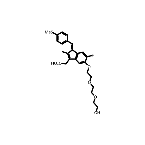 CSc1ccc(C=C2C(C)=C(CC(=O)O)c3cc(OCCOCCOCCO)c(F)cc32)cc1